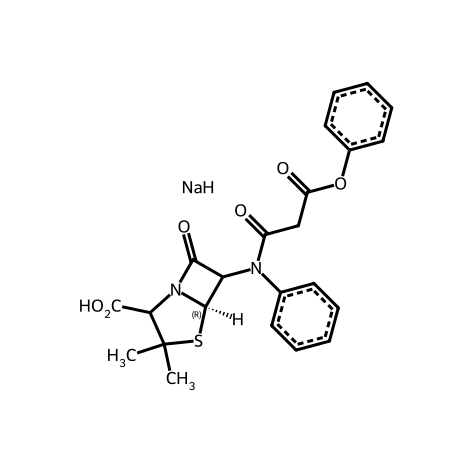 CC1(C)S[C@@H]2C(N(C(=O)CC(=O)Oc3ccccc3)c3ccccc3)C(=O)N2C1C(=O)O.[NaH]